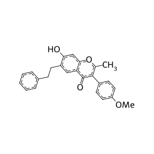 COc1ccc(-c2c(C)oc3cc(O)c(CCc4ccccc4)cc3c2=O)cc1